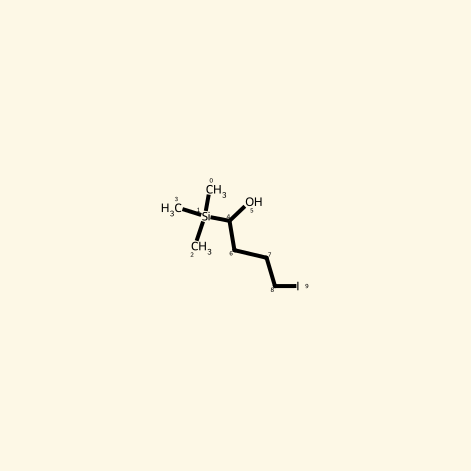 C[Si](C)(C)C(O)CCCI